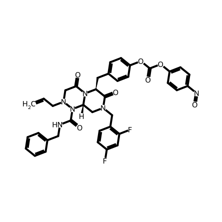 C=CCN1CC(=O)N2[C@@H](Cc3ccc(OC(=O)Oc4ccc(N=O)cc4)cc3)C(=O)N(Cc3ccc(F)cc3F)C[C@@H]2N1C(=O)NCc1ccccc1